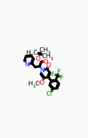 COc1cn(C(Cc2ccccn2)C(=O)OC(C)(C)C)c(=O)cc1-c1cc(Cl)ccc1C(F)(F)F